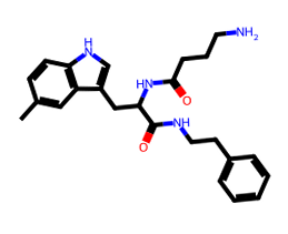 Cc1ccc2[nH]cc(CC(NC(=O)CCCN)C(=O)NCCc3ccccc3)c2c1